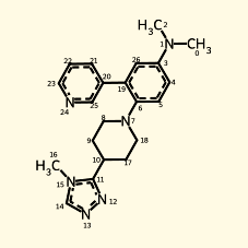 CN(C)c1ccc(N2CCC(c3nncn3C)CC2)c(-c2cccnc2)c1